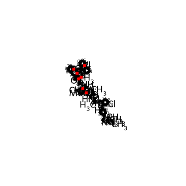 COC[C@H](NC(=O)[C@H](C)NCc1ccc(Cl)cc1Oc1ccc(-c2cnc(CN(C)C)n2C)cc1)C(=O)N(C)[C@H](CC(=O)NC1CC1N(C)C(=O)[C@@H](CC(=O)OC(c1ccccc1)(c1ccccc1)c1ccccc1Cl)Cc1ccccc1)Cc1ccc(Cl)cc1